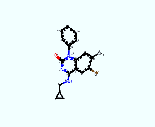 O=c1nc(NCC2CC2)c2cc(Br)c(C(F)(F)F)cc2n1-c1ccccc1